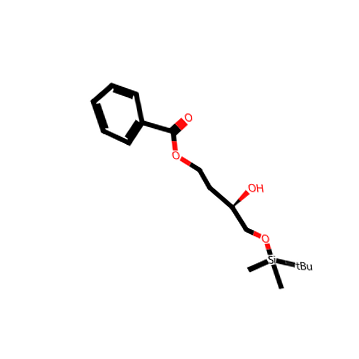 CC(C)(C)[Si](C)(C)OC[C@H](O)CCOC(=O)c1ccccc1